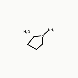 NN1CCCC1.O